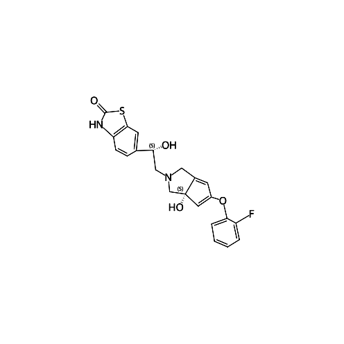 O=c1[nH]c2ccc([C@H](O)CN3CC4=CC(Oc5ccccc5F)=C[C@@]4(O)C3)cc2s1